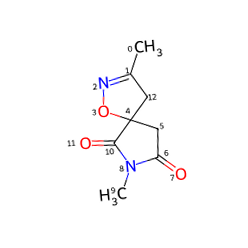 CC1=NOC2(CC(=O)N(C)C2=O)C1